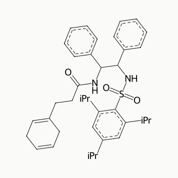 CC(C)c1cc(C(C)C)c(S(=O)(=O)NC(c2ccccc2)C(NC(=O)CCC2=CCC=CC2)c2ccccc2)c(C(C)C)c1